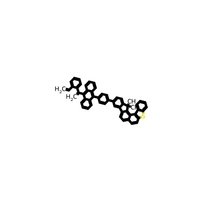 C=Cc1ccccc1C(=C)c1c2ccccc2c(-c2ccc(-c3ccc4c(c3)-c3ccc5ccc6sc7ccccc7c6c5c3C4(C)C)cc2)c2ccccc12